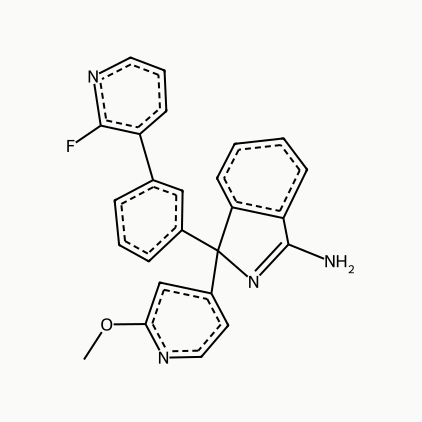 COc1cc(C2(c3cccc(-c4cccnc4F)c3)N=C(N)c3ccccc32)ccn1